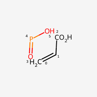 C=CC(=O)O.O=PO